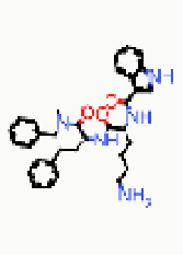 CN(Cc1ccccc1)C(=O)[C@H](CCc1ccccc1)NC(=O)[C@H](CCCCN)NC(=O)c1c[nH]c2ccccc12